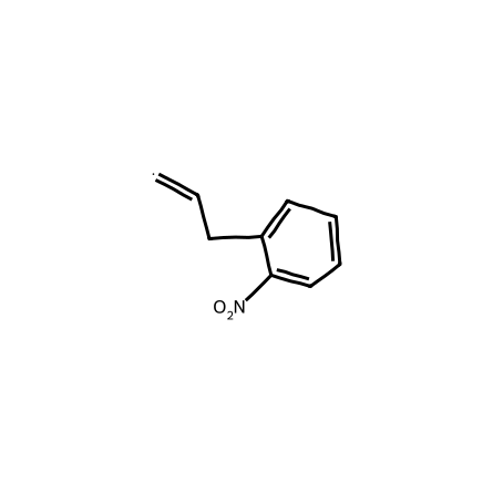 [CH]=CCc1ccccc1[N+](=O)[O-]